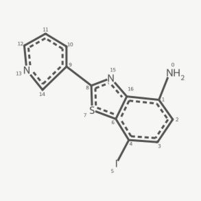 Nc1ccc(I)c2sc(-c3cccnc3)nc12